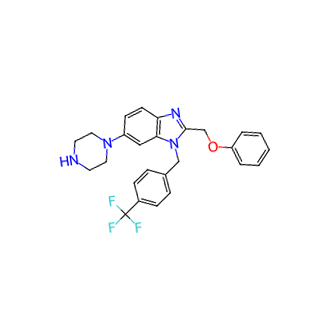 FC(F)(F)c1ccc(Cn2c(COc3ccccc3)nc3ccc(N4CCNCC4)cc32)cc1